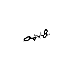 O=C(Nc1ccc(O)c2ccccc12)NC1CC1c1ccccc1